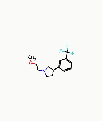 COCCN1CCC(c2cccc(C(F)(F)F)c2)C1